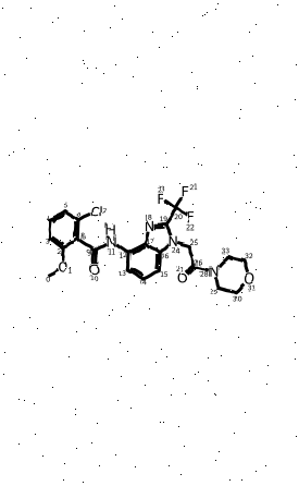 COc1cccc(Cl)c1C(=O)Nc1cccc2c1nc(C(F)(F)F)n2CC(=O)N1CCOCC1